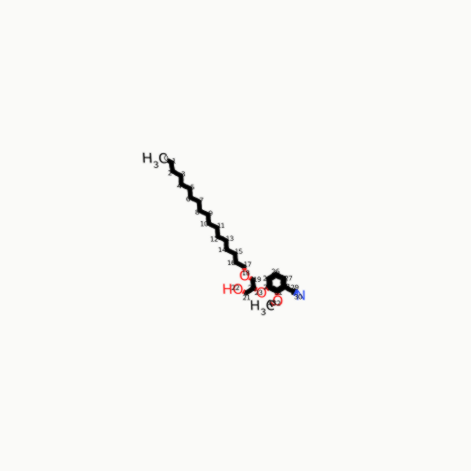 CCCCCCCCCCCCCCCCCCOCC(CO)Oc1cccc(C#N)c1OC